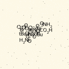 CC[C@H](C)[C@H](NC(=O)[C@H](CCC(N)=O)NC(=O)OC(C)(C)C)C(=O)N[C@@H](Cc1ccc(OC(=O)OCc2ccccc2Br)cc1)C(=O)N[C@@H](CCC(N)=O)C(=O)O